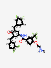 CN(C)CCOc1ccc(C(=O)NC2C/C(=C\c3ccc(F)c(F)c3)C(=O)/C(=C/c3ccc(F)c(F)c3)C2)cc1C(F)(F)F